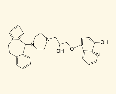 Oc1ccc(OCC(O)CN2CCN(C3c4ccccc4CCc4ccccc43)CC2)c2cccnc12